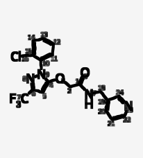 O=C(COc1cc(C(F)(F)F)nn1-c1ccccc1Cl)NCc1cccnc1